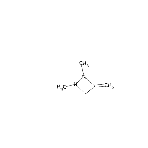 C=C1CN(C)N1C